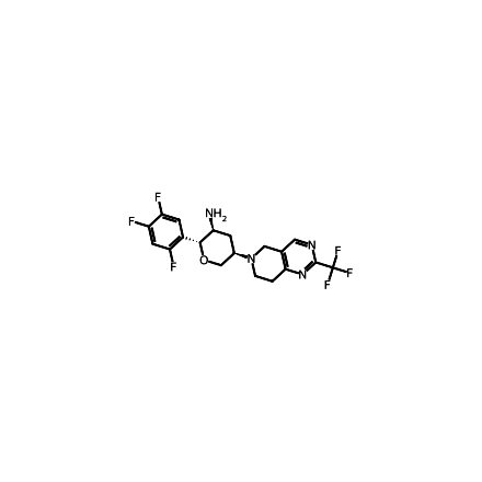 N[C@H]1C[C@@H](N2CCc3nc(C(F)(F)F)ncc3C2)CO[C@@H]1c1cc(F)c(F)cc1F